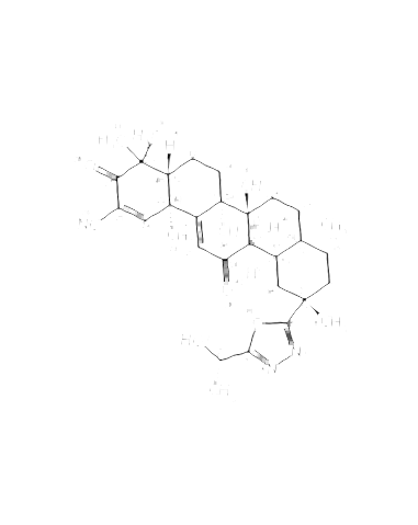 C[C@H](O)c1nnc([C@@]2(C)CC[C@]3(C)CC[C@]4(C)[C@H](C(=O)C=C5[C@@]6(C)C=C(C#N)C(=O)C(C)(C)[C@@H]6CC[C@]54C)[C@@H]3C2)o1